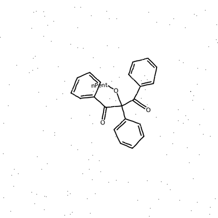 CCCCCOC(C(=O)c1ccccc1)(C(=O)c1ccccc1)c1ccccc1